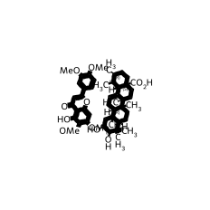 COc1ccc(-c2cc(=O)c3c(O)c(OC)c(OC)cc3o2)cc1OC.C[C@H]1[C@H](C)CC[C@]2(C(=O)O)CC[C@]3(C)C(=CC[C@@H]4[C@@]5(C)C[C@@H](O)[C@H](O)C(C)(C)[C@@H]5CC[C@]43C)[C@H]12